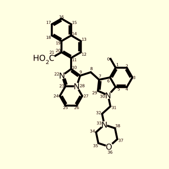 Cc1cccc2c1c(Cc1c(-c3ccc4ccccc4c3C(=O)O)nc3ccccn13)cn2CCN1CCOCC1